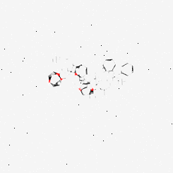 CC(CO[Si](c1ccccc1)(c1ccccc1)C(C)(C)C)N(O[Si](c1ccccc1)(c1ccccc1)C(C)(C)C)C(=O)c1csc(N2CC(OC(C)(C)C)C2(Oc2ccccc2)Oc2ccccc2)n1